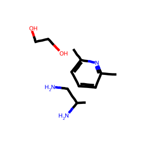 CC(N)CN.Cc1cccc(C)n1.OCCO